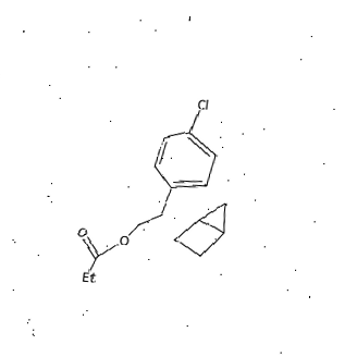 C1CC2CC12.CCC(=O)OCCc1ccc(Cl)cc1